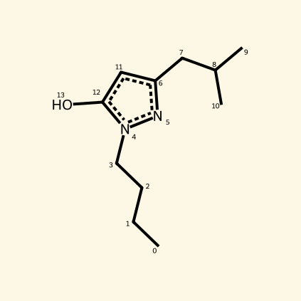 CCCCn1nc(CC(C)C)cc1O